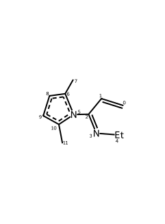 C=C/C(=N\CC)n1c(C)ccc1C